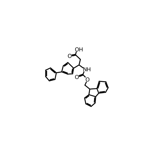 O=C(O)CC(NC(=O)OCC1c2ccccc2-c2ccccc21)c1ccc(-c2ccccc2)cc1